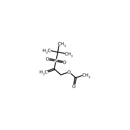 C=C(COC(C)=O)S(=O)(=O)C(C)(C)C